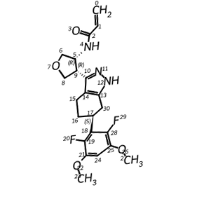 C=CC(=O)N[C@H]1COC[C@H]1c1n[nH]c2c1CC[C@H](c1c(F)c(OC)cc(OC)c1F)C2